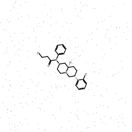 O=C(CCCl)N(c1ccccc1)[C@@H]1CCN2C[C@@H](c3ccccc3Cl)CC[C@@H]2C1